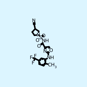 Cc1ccc(C(F)(F)F)cc1Nc1nc(C(=O)NS(=O)(=O)N2CCC(C#N)C2)co1